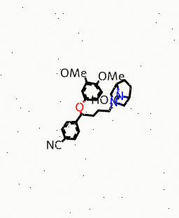 COc1ccc(OC(CCCN2CC3CCC(C2)N3C(=O)O)c2ccc(C#N)cc2)cc1OC